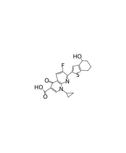 O=C(O)c1cn(C2CC2)c2nc(-c3cc4c(s3)CCCC4O)c(F)cc2c1=O